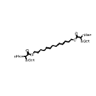 CCCCCCCCC(CCCCCC)C(=O)OCCCCCCCCCCCCCOC(=O)C(CCCCCC)CCCCCCCC